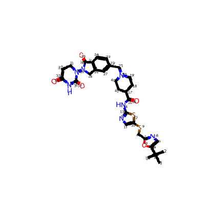 CC(C)(C)c1cnc(CSc2cnc(NC(=O)C3CCN(Cc4ccc5c(c4)CN(N4CCC(=O)NC4=O)C5=O)CC3)s2)o1